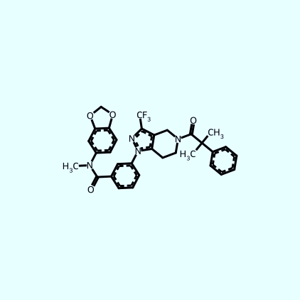 CN(C(=O)c1cccc(-n2nc(C(F)(F)F)c3c2CCN(C(=O)C(C)(C)c2ccccc2)C3)c1)c1ccc2c(c1)OCO2